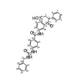 O=C(O)CC(c1ccccc1)[S+]([O-])c1cccc(NC(=O)c2ccc(NC(=O)NCc3ccccc3)cc2)c1